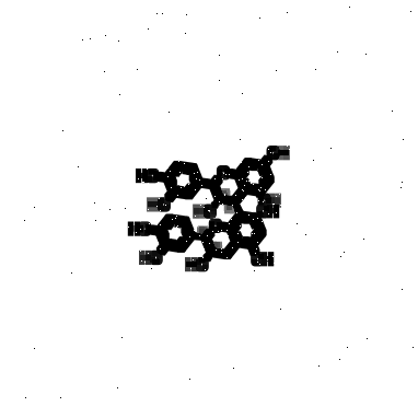 Oc1cc(O)c2c(c1)OC(c1ccc(O)c(O)c1)[C@@H](O)[C@@H]2c1c(O)cc(O)c2c1O[C@H](c1ccc(O)c(O)c1)[C@H](O)C2